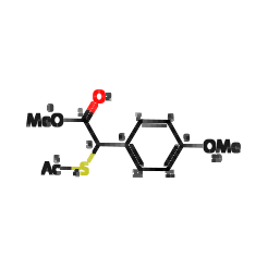 COC(=O)C(SC(C)=O)c1ccc(OC)cc1